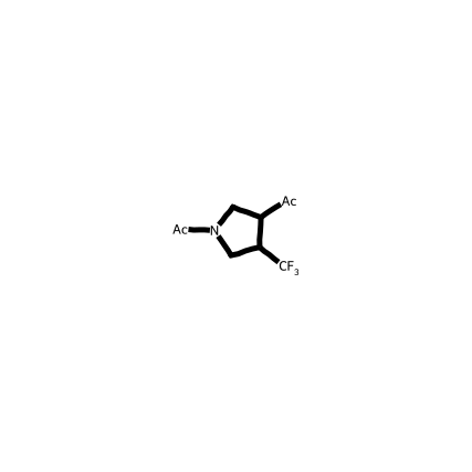 CC(=O)C1CN(C(C)=O)CC1C(F)(F)F